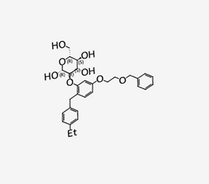 CCc1ccc(Cc2ccc(OCCOCc3ccccc3)cc2O[C@@H]2[C@@H](O)[C@H](O)[C@@H](CO)O[C@H]2O)cc1